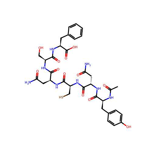 CC(=O)N[C@@H](Cc1ccc(O)cc1)C(=O)N[C@@H](CC(N)=O)C(=O)N[C@@H](CS)C(=O)N[C@@H](CC(N)=O)C(=O)N[C@@H](CO)C(=O)N[C@@H](Cc1ccccc1)C(=O)O